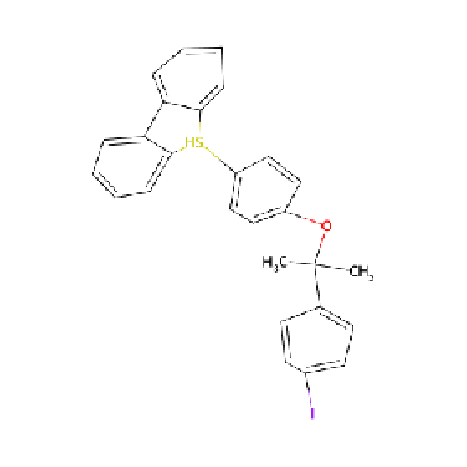 CC(C)(Oc1ccc([SH]2c3ccccc3-c3ccccc32)cc1)c1ccc(I)cc1